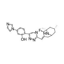 C[C@@H]1CC2C/C(=C/c3ncc(-c4ccc(-n5ccnc5)cc4O)nn3)[C@@H](F)[C@@](C)(C1)N2